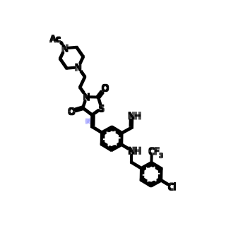 CC(=O)N1CCN(CCN2C(=O)S/C(=C\c3ccc(NCc4ccc(Cl)cc4C(F)(F)F)c(C=N)c3)C2=O)CC1